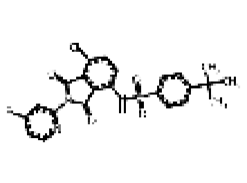 CC(C)(C)c1ccc(S(=O)(=O)Nc2ccc(Cl)c3c2C(=O)N(c2cc(F)ccn2)C3=O)cc1